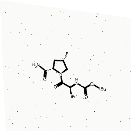 CC(C)[C@H](NC(=O)OC(C)(C)C)C(=O)N1C[C@@H](F)C[C@H]1C(N)=O